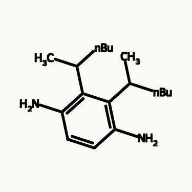 CCCCC(C)c1c(N)ccc(N)c1C(C)CCCC